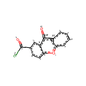 O=C(Cl)c1ccc2oc3ccccc3c(=O)c2c1